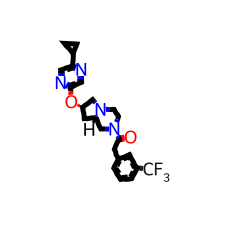 O=C(Cc1cccc(C(F)(F)F)c1)N1CCN2C[C@H](Oc3cnc(C4CC4)cn3)C[C@H]2C1